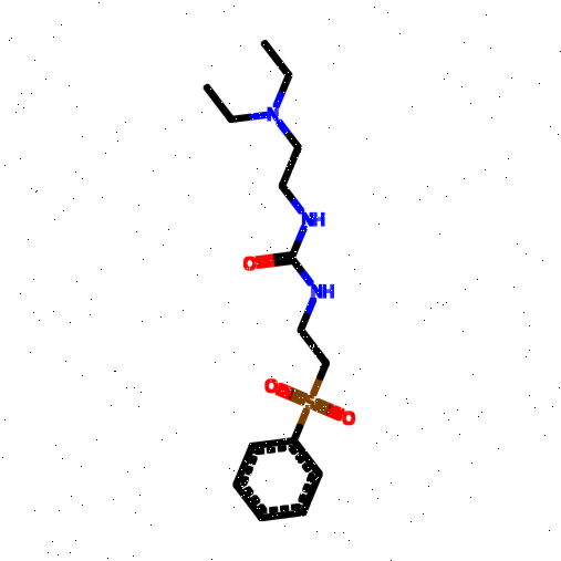 CCN(CC)CCNC(=O)NCCS(=O)(=O)c1ccccc1